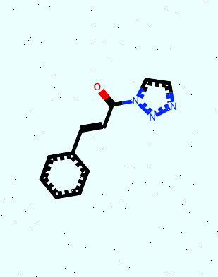 O=C(/C=C/c1ccccc1)n1ccnn1